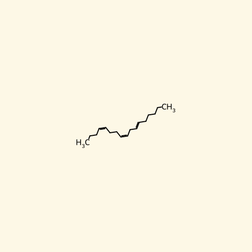 CCC/C=C\CC/C=C\CC=CCCCCC